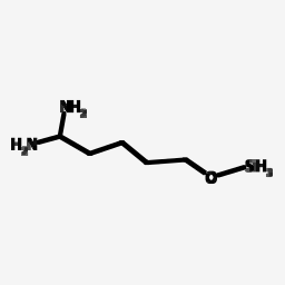 NC(N)CCCCO[SiH3]